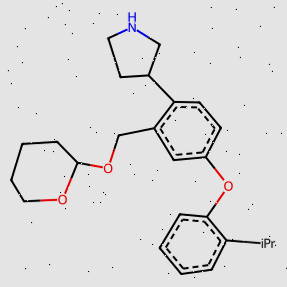 CC(C)c1ccccc1Oc1ccc(C2CCNC2)c(COC2CCCCO2)c1